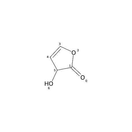 O=C1OC=CC1O